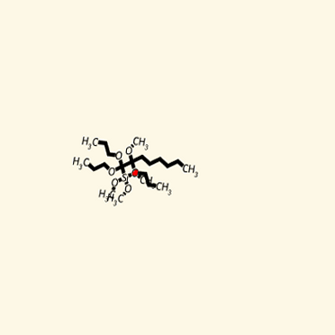 CCCCCCC(OC)(OCCC)C(OCCC)(OCCC)[Si](OC)(OC)OC